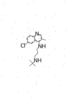 Cc1cnc2ccc(Cl)cc2c1NCCCNC(C)(C)C